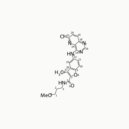 COCCCNC(=O)c1oc2ccc(Nc3ncnc4ccc(Cl)nc34)cc2c1C